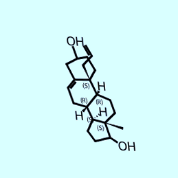 C=CC[C@]12CCC(O)CC1=CC[C@@H]1[C@H]2CC[C@]2(C)C(O)CC[C@@H]12